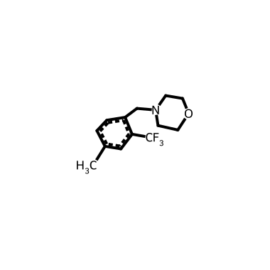 Cc1ccc(CN2CCOCC2)c(C(F)(F)F)c1